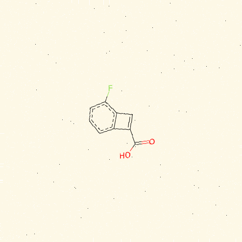 O=C(O)C1=Cc2c(F)cccc21